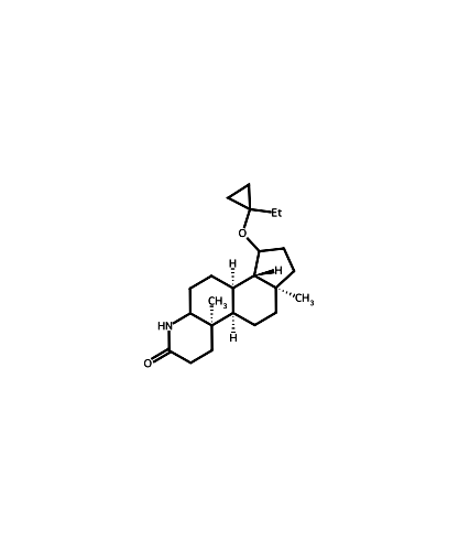 CCC1(OC2CC[C@@]3(C)CC[C@@H]4[C@@H](CCC5NC(=O)CC[C@@]54C)[C@H]23)CC1